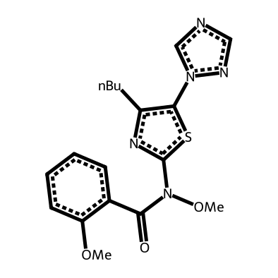 CCCCc1nc(N(OC)C(=O)c2ccccc2OC)sc1-n1cncn1